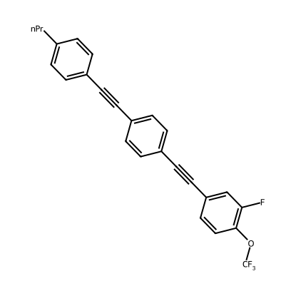 CCCc1ccc(C#Cc2ccc(C#Cc3ccc(OC(F)(F)F)c(F)c3)cc2)cc1